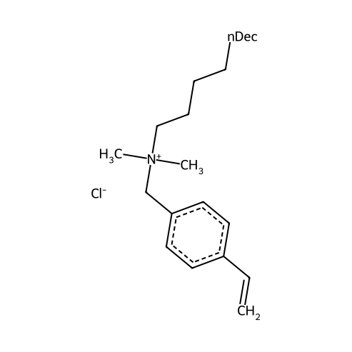 C=Cc1ccc(C[N+](C)(C)CCCCCCCCCCCCCC)cc1.[Cl-]